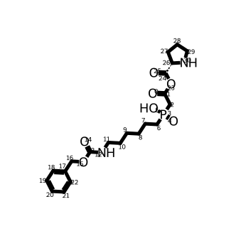 O=C(CP(=O)(O)CCCCCCNC(=O)OCc1ccccc1)OC(=O)[C@@H]1CCCN1